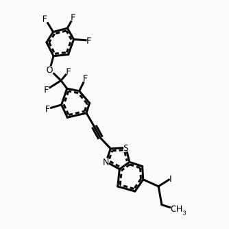 CCC(I)c1ccc2nc(C#Cc3cc(F)c(C(F)(F)Oc4cc(F)c(F)c(F)c4)c(F)c3)sc2c1